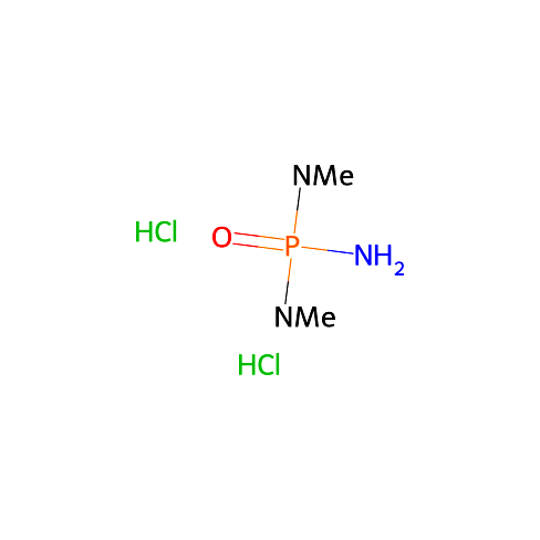 CNP(N)(=O)NC.Cl.Cl